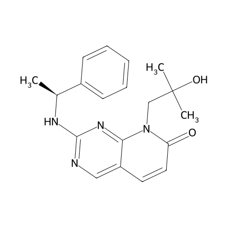 C[C@H](Nc1ncc2ccc(=O)n(CC(C)(C)O)c2n1)c1ccccc1